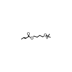 CC=CC(=O)OCCCCO[Si](C)(C)C